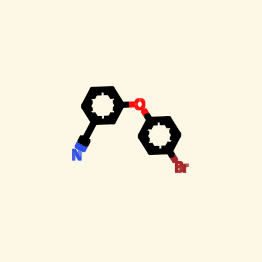 N#Cc1cccc(Oc2ccc(Br)cc2)c1